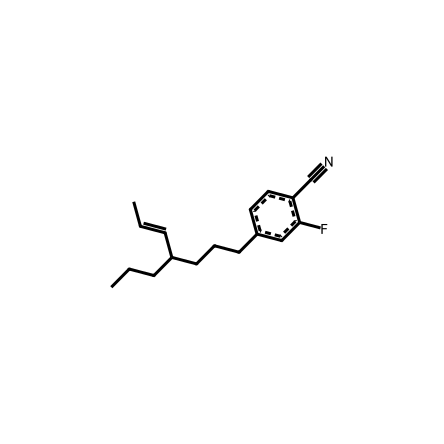 CC=CC(CCC)CCCc1ccc(C#N)c(F)c1